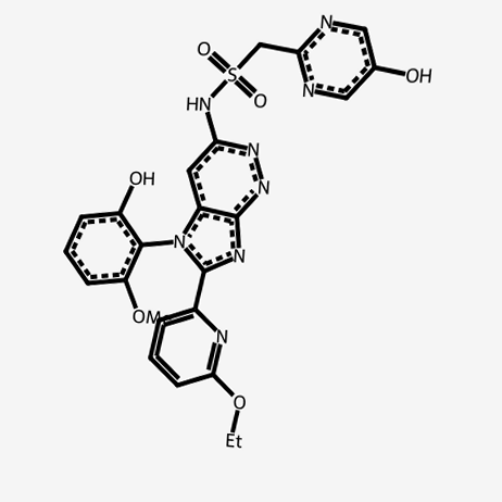 CCOC1=NC(c2nc3nnc(NS(=O)(=O)Cc4ncc(O)cn4)cc3n2-c2c(O)cccc2OC)=C=C=C1